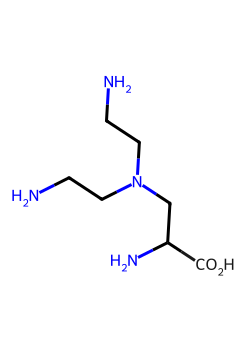 NCCN(CCN)CC(N)C(=O)O